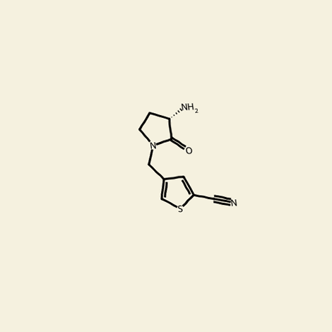 N#Cc1cc(CN2CC[C@H](N)C2=O)cs1